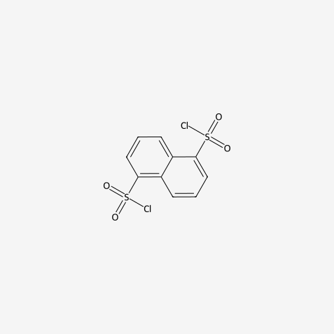 O=S(=O)(Cl)c1cccc2c(S(=O)(=O)Cl)cccc12